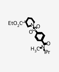 CCOC(=O)[C@@H]1CCCN(S(=O)(=O)c2ccc(C(=O)N(C)C(C)C)cc2)C1